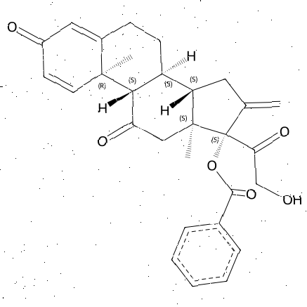 C=C1C[C@H]2[C@@H]3CCC4=CC(=O)C=C[C@]4(C)[C@H]3C(=O)C[C@]2(C)[C@]1(OC(=O)c1ccccc1)C(=O)CO